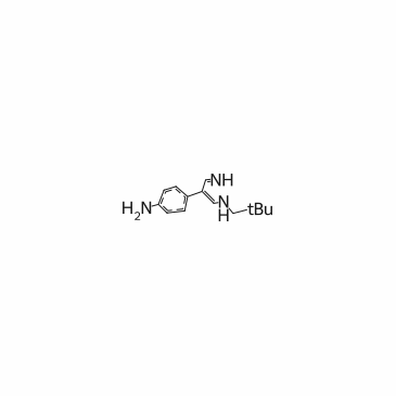 CC(C)(C)CN/C=C(\C=N)c1ccc(N)cc1